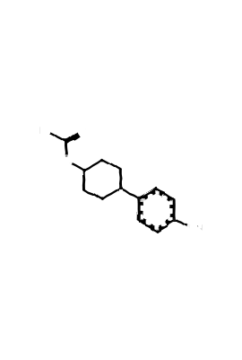 CCC(=O)OC1CCC(c2ccc(C#N)cc2)CC1